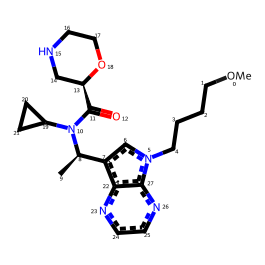 COCCCCn1cc([C@@H](C)N(C(=O)[C@H]2CNCCO2)C2CC2)c2nccnc21